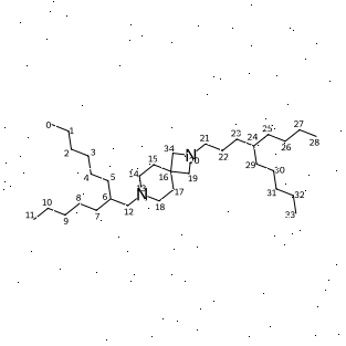 CCCCCCC(CCCCC)CN1CCC2(CC1)CN(CCCC(CCCC)CCCCC)C2